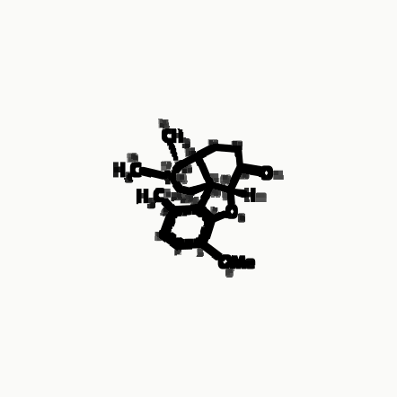 COc1ccc(C)c2c1O[C@H]1C(=O)CCC3[C@@H](C)N(C)CC[C@@]231